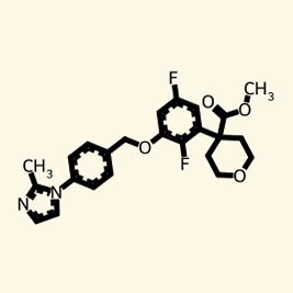 COC(=O)C1(c2cc(F)cc(OCc3ccc(-n4ccnc4C)cc3)c2F)CCOCC1